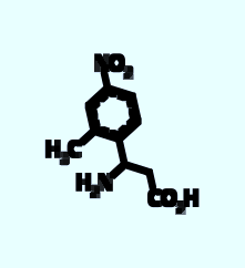 Cc1cc([N+](=O)[O-])ccc1C(N)CC(=O)O